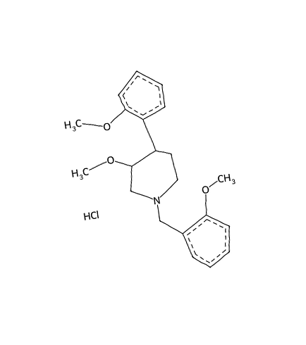 COc1ccccc1CN1CCC(c2ccccc2OC)C(OC)C1.Cl